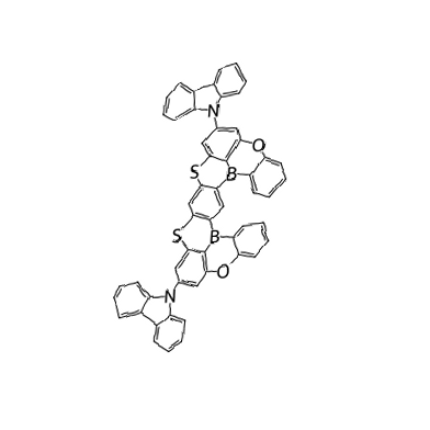 c1ccc2c(c1)Oc1cc(-n3c4ccccc4c4ccccc43)cc3c1B2c1cc2c(cc1S3)Sc1cc(-n3c4ccccc4c4ccccc43)cc3c1B2c1ccccc1O3